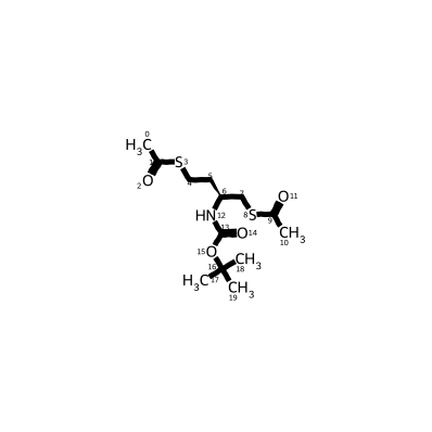 CC(=O)SCC[C@@H](CSC(C)=O)NC(=O)OC(C)(C)C